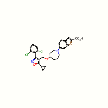 O=C(O)c1cc2ccc(N3CCCC(OCc4c(-c5c(Cl)cccc5Cl)noc4C4CC4)CC3)cc2s1